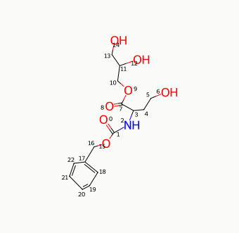 O=C(NC(CCO)C(=O)OCC(O)CO)OCc1ccccc1